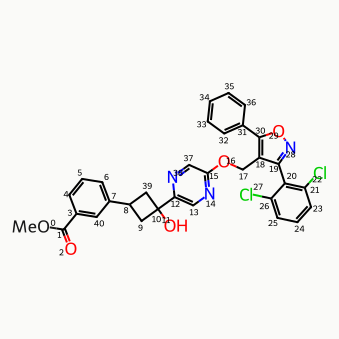 COC(=O)c1cccc(C2CC(O)(c3cnc(OCc4c(-c5c(Cl)cccc5Cl)noc4-c4ccccc4)cn3)C2)c1